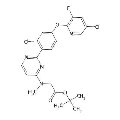 CN(CC(=O)OC(C)(C)C)c1ccnc(-c2ccc(Oc3ncc(Cl)cc3F)cc2Cl)n1